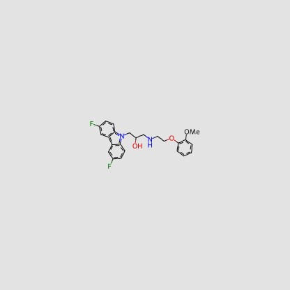 COc1ccccc1OCCNCC(O)Cn1c2ccc(F)cc2c2cc(F)ccc21